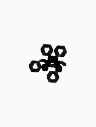 CC[Si](C[Si](CC)(Oc1ccccc1)Oc1ccccc1)(Oc1ccccc1)Oc1ccccc1